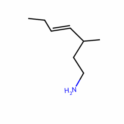 CCC=CC(C)CCN